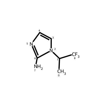 CC(n1ccnc1N)C(F)(F)F